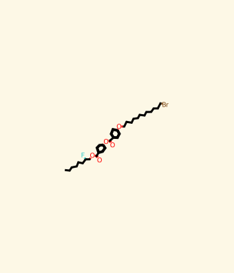 CCCCCCC(F)COC(=O)c1ccc(OC(=O)c2ccc(OCCCCCCCCCCCCBr)cc2)cc1